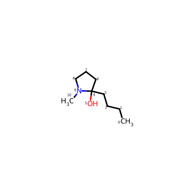 CCCCC1(O)CCCN1C